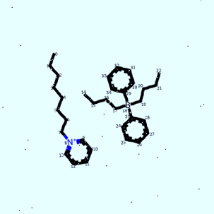 CCCCCCCC[n+]1ccccc1.CCCC[B-](CCCC)(c1ccccc1)c1ccccc1